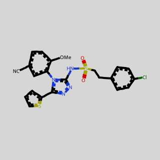 COc1ccc(C#N)cc1-n1c(NS(=O)(=O)CCc2ccc(Cl)cc2)nnc1-c1cccs1